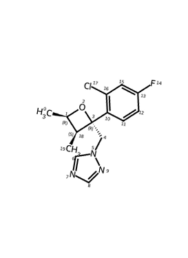 C[C@H]1O[C@@](Cn2cncn2)(c2ccc(F)cc2Cl)[C@H]1C